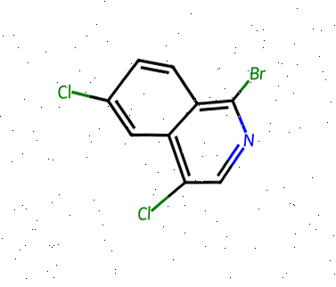 Clc1ccc2c(Br)ncc(Cl)c2c1